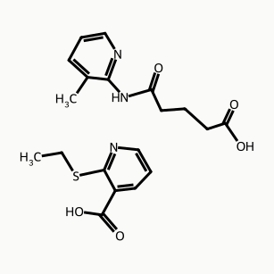 CCSc1ncccc1C(=O)O.Cc1cccnc1NC(=O)CCCC(=O)O